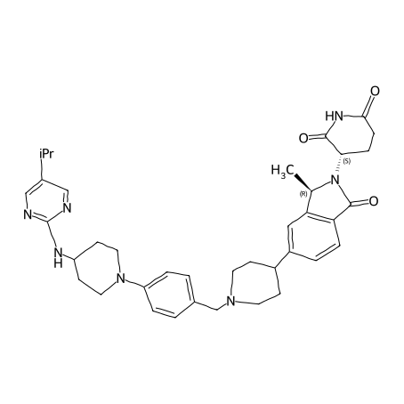 CC(C)c1cnc(NC2CCN(c3ccc(CN4CCC(c5ccc6c(c5)[C@@H](C)N([C@H]5CCC(=O)NC5=O)C6=O)CC4)cc3)CC2)nc1